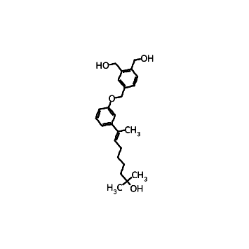 C/C(=C\CCCCC(C)(C)O)c1cccc(OCc2ccc(CO)c(CO)c2)c1